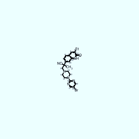 CCc1cc2ccc(C(C)(C#N)CN3CCN(c4ncc(Br)cn4)CC3)cc2[nH]c1=O